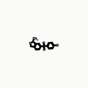 CB1OCc2ccc(S(=O)(=O)c3ccc(Cl)cc3)cc21